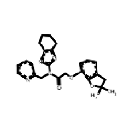 CC1(C)Cc2cccc(OCC(=O)N(Cc3ccccn3)c3nc4c(s3)CCCC4)c2O1